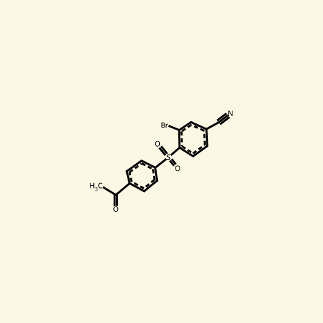 CC(=O)c1ccc(S(=O)(=O)c2ccc(C#N)cc2Br)cc1